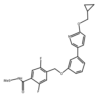 CSNC(=O)c1cc(F)c(COc2cccc(-c3ccc(OCC4CC4)nc3)c2)cc1F